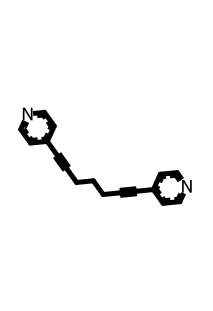 C(#Cc1ccncc1)CCCC#Cc1ccncc1